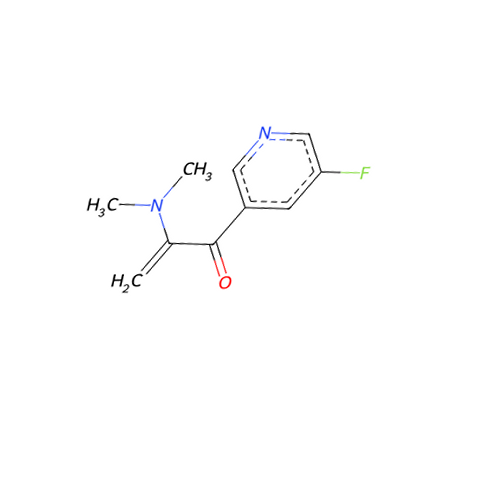 C=C(C(=O)c1cncc(F)c1)N(C)C